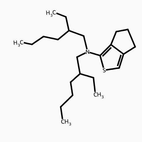 CCCCC(CC)CN(CC(CC)CCCC)c1scc2c1CCC2